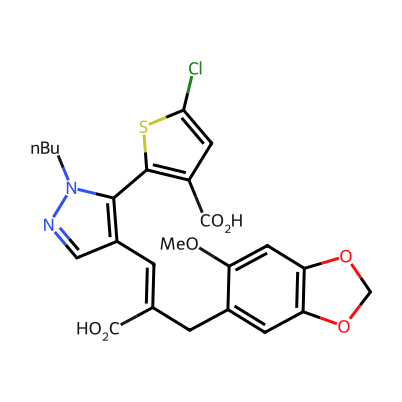 CCCCn1ncc(C=C(Cc2cc3c(cc2OC)OCO3)C(=O)O)c1-c1sc(Cl)cc1C(=O)O